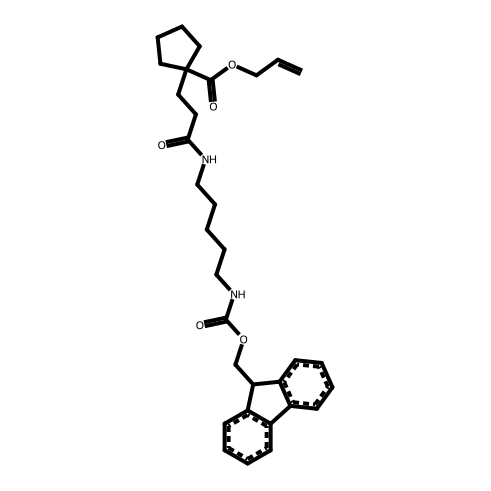 C=CCOC(=O)C1(CCC(=O)NCCCCCNC(=O)OCC2c3ccccc3-c3ccccc32)CCCC1